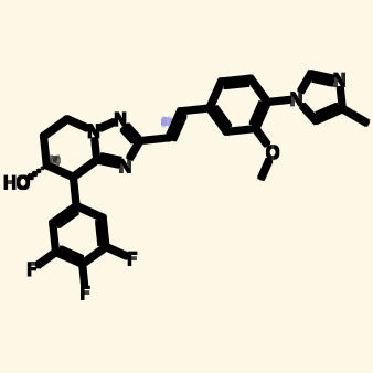 COc1cc(/C=C/c2nc3n(n2)CC[C@@H](O)C3c2cc(F)c(F)c(F)c2)ccc1-n1cnc(C)c1